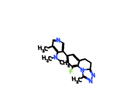 Cc1cncc(-c2cc(F)c3c(c2)CCc2nnc(C)n2-3)c1N(C)C